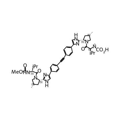 COC(=O)N[C@H](C(=O)N1C[C@@H](C)C[C@H]1c1nc(-c2ccc(C#Cc3ccc(-c4c[nH]c([C@@H]5C[C@H](C)CN5C(=O)[C@H](C(C)C)N(C)C(=O)O)n4)cc3)cc2)c[nH]1)C(C)C